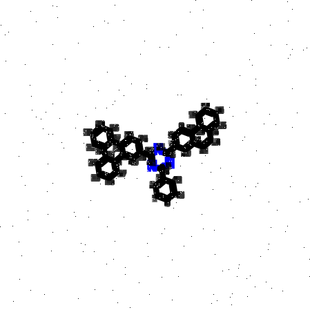 c1ccc(-c2nc(-c3ccc4c(ccc5ccccc54)c3)nc(-c3ccc4c5ccccc5c5ccccc5c4c3)n2)cc1